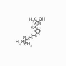 C[C@@H](CCC(=O)c1cccc(CCCCCC(=O)N(C)C)c1)C(=O)O